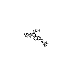 Cc1nc(COc2ccc3c(c2)CCN/C3=C\C(=N/O)OCC2COCCO2)no1